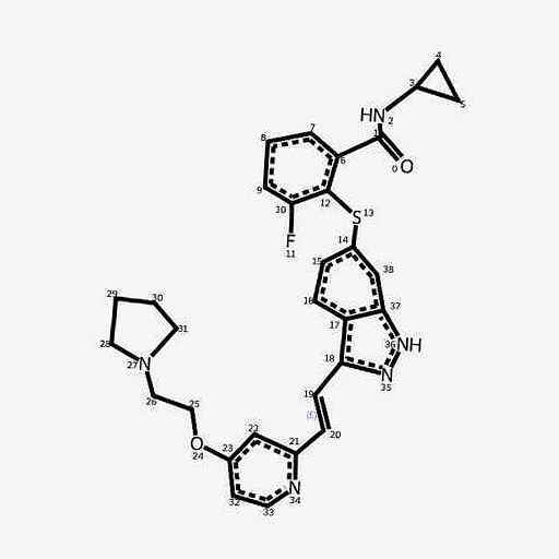 O=C(NC1CC1)c1cccc(F)c1Sc1ccc2c(/C=C/c3cc(OCCN4CCCC4)ccn3)n[nH]c2c1